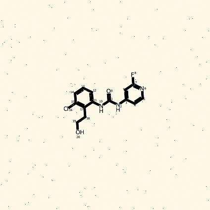 O=C(Nc1ccnc(F)c1)Nc1cccc(Cl)c1CCO